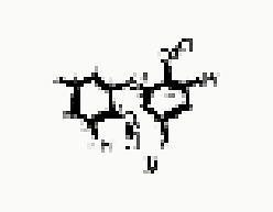 Cc1cc(Sc2cc(C)cc(C(C)C)c2OCl)c(OCl)c(C(C)C)c1.[Ti]